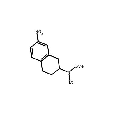 CCN(SC)C1CCc2ccc([N+](=O)[O-])cc2C1